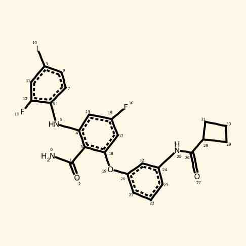 NC(=O)c1c(Nc2ccc(I)cc2F)cc(F)cc1Oc1cccc(NC(=O)C2CCC2)c1